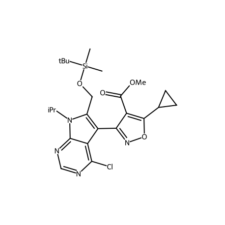 COC(=O)c1c(-c2c(CO[Si](C)(C)C(C)(C)C)n(C(C)C)c3ncnc(Cl)c23)noc1C1CC1